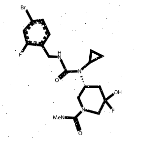 CNC(=O)N1C[C@H](N(C(=O)NCc2ccc(Br)cc2F)C2CC2)CC(O)(F)C1